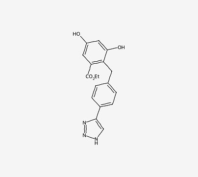 CCOC(=O)c1cc(O)cc(O)c1Cc1ccc(-c2c[nH]nn2)cc1